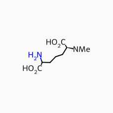 CN[C@@H](CCCC(N)C(=O)O)C(=O)O